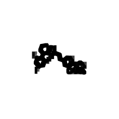 COc1cc(C=Cc2nc3n(n2)CCCC3c2c(F)cc(F)cc2F)cnc1-n1cnc(C)c1